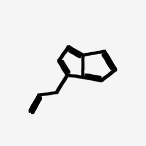 C=CCC1=CC=C2C=CC=C21